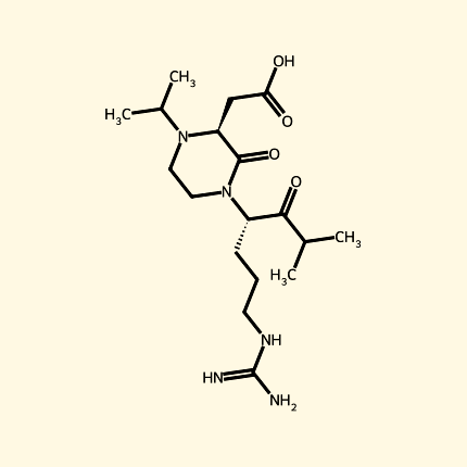 CC(C)C(=O)[C@H](CCCNC(=N)N)N1CCN(C(C)C)[C@@H](CC(=O)O)C1=O